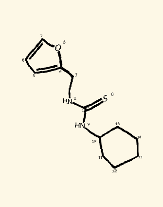 S=C(NCc1ccco1)NC1CCCCC1